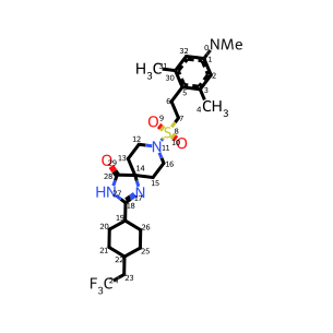 CNc1cc(C)c(CCS(=O)(=O)N2CCC3(CC2)N=C(C2CCC(CC(F)(F)F)CC2)NC3=O)c(C)c1